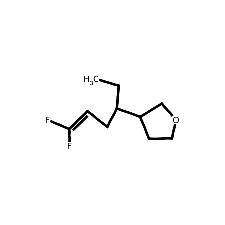 CCC(CC=C(F)F)C1CCOC1